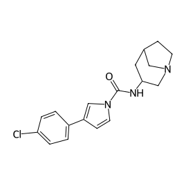 O=C(NC1CC2CCN(C2)C1)n1ccc(-c2ccc(Cl)cc2)c1